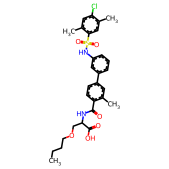 CCCCOCC(NC(=O)c1ccc(-c2cccc(NS(=O)(=O)c3cc(C)c(Cl)cc3C)c2)cc1C)C(=O)O